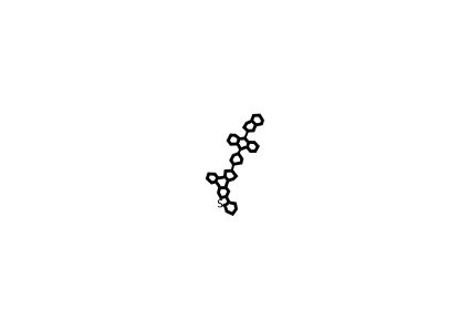 c1ccc2cc(-c3c4ccccc4c(-c4ccc(-c5ccc6c(c5)c5ccccc5c5cc7sc8ccccc8c7cc65)cc4)c4ccccc34)ccc2c1